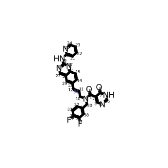 O=C(c1cnc[nH]c1=O)N(C/C=C/c1ccc2nc(Nc3ccccn3)ncc2c1)Cc1ccc(F)c(F)c1